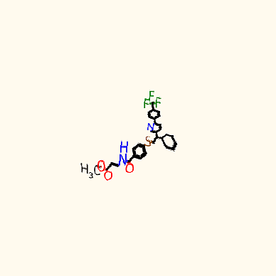 COC(=O)CCNC(=O)c1ccc(SCC(c2ccc(-c3ccc(C(F)(F)F)cc3)nc2)C2CCCCC2)cc1